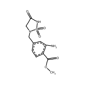 COC(=O)c1ccc(CN2CC(=O)NS2(=O)=O)cc1N